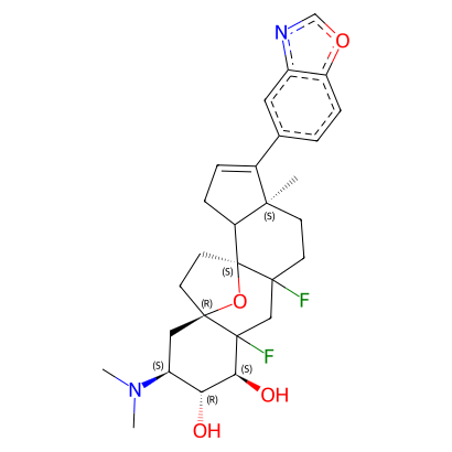 CN(C)[C@H]1C[C@@]23CC[C@]4(O2)C2CC=C(c5ccc6ocnc6c5)[C@@]2(C)CCC4(F)CC3(F)[C@@H](O)[C@@H]1O